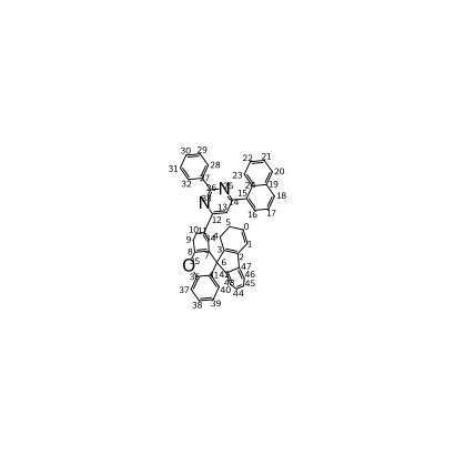 C1=CC2=C(CC1)C1(C3=C(CCC(c4cc(-c5cccc6ccccc56)nc(-c5ccccc5)n4)=C3)Oc3ccccc31)c1ccccc12